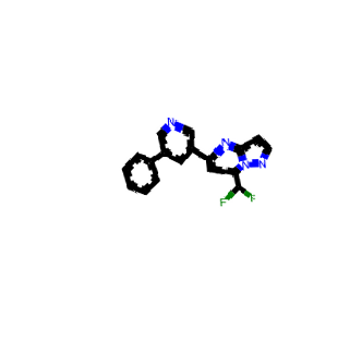 FC(F)c1cc(-c2cncc(-c3ccccc3)c2)nc2ccnn12